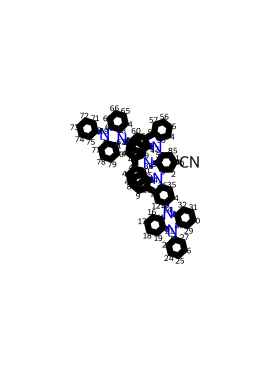 N#Cc1cc(-n2c3ccccc3c3cc(N4c5ccccc5N(c5ccccc5)c5ccccc54)ccc32)c(-n2c3ccccc3c3ccccc32)c(-n2c3ccccc3c3cc(N4c5ccccc5N(c5ccccc5)c5ccccc54)ccc32)c1